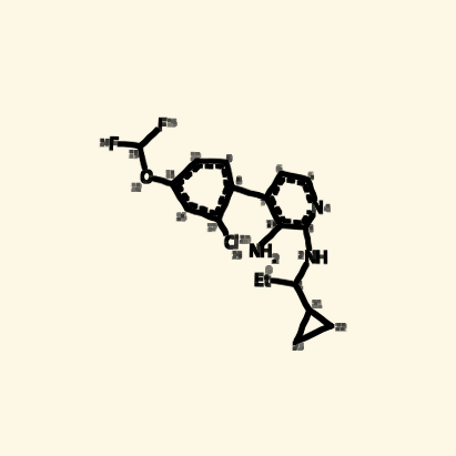 CCC(Nc1nccc(-c2ccc(OC(F)F)cc2Cl)c1N)C1CC1